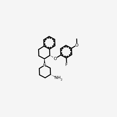 COc1ccc(O[C@H]2c3ccccc3CC[C@@H]2N2CCC[C@@H](N)C2)c(F)c1